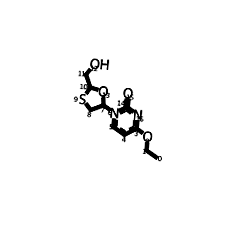 CCOc1ccn(C2CSC(CO)O2)c(=O)n1